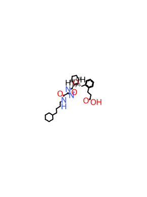 O=C(O)CCc1ccccc1C[C@@H]1[C@@H](c2nc(C(=O)NCCCCC3CCCCC3)no2)[C@H]2CC[C@@H]1O2